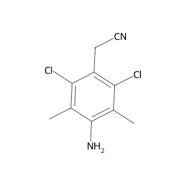 Cc1c(N)c(C)c(Cl)c(CC#N)c1Cl